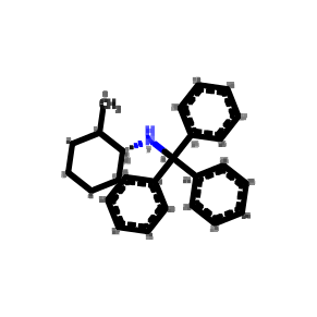 CC1CCCC[C@H]1NC(c1ccccc1)(c1ccccc1)c1ccccc1